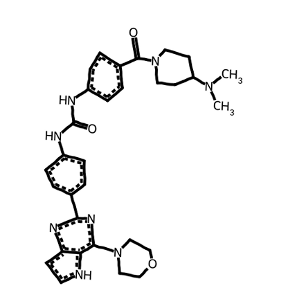 CN(C)C1CCN(C(=O)c2ccc(NC(=O)Nc3ccc(-c4nc(N5CCOCC5)c5[nH]ccc5n4)cc3)cc2)CC1